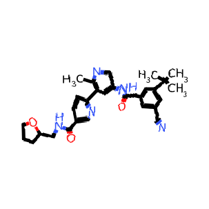 Cc1ncc(NC(=O)c2cc(C#N)cc(C(C)(C)C)c2)cc1-c1ccc(C(=O)NCC2CCCO2)cn1